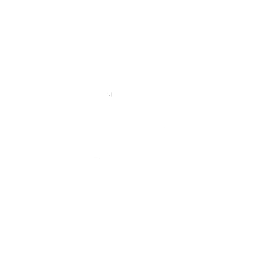 CC1CC2NCCCC2C(C(=O)O)C1